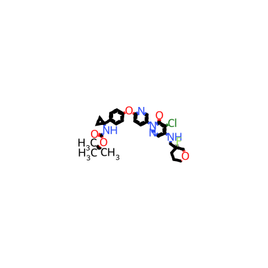 CC(C)(C)OC(=O)NC1(c2ccc(Oc3ccc(-n4ncc(NC[C@]5(F)CCCOC5)c(Cl)c4=O)cn3)cc2)CC1